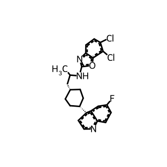 CC(C[C@H]1CC[C@@H](c2ccnc3ccc(F)cc32)CC1)Nc1nc2ccc(Cl)c(Cl)c2o1